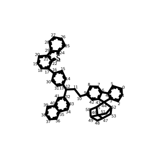 c1ccc2c(c1)-c1ccc(CCC(c3ccc(-c4cccc5c4sc4ccccc45)cc3)c3ccc4ccccc4c3)cc1C21C2CC3CC(C2)CC1C3